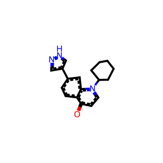 O=c1ccn(C2CCCCC2)c2cc(-c3cn[nH]c3)ccc12